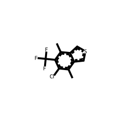 Cc1c(Cl)c(C(F)(F)F)c(C)c2cscc12